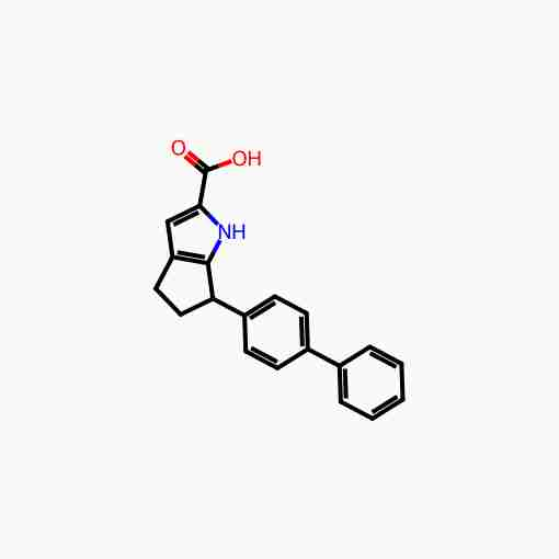 O=C(O)c1cc2c([nH]1)C(c1ccc(-c3ccccc3)cc1)CC2